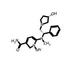 CCCN1CC(C(N)=O)=CC=C1N(C)[C@H](CN1CC[C@H](O)C1)c1ccccc1